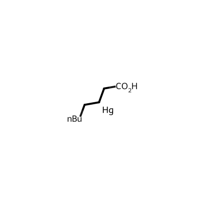 CCCCCCCC(=O)O.[Hg]